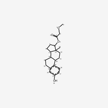 COCC(=O)OC1CCC2C3CCc4cc(O)ccc4C3CCC12C